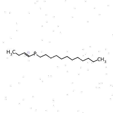 CC/C=C/[P]CCCCCCCCCCCC